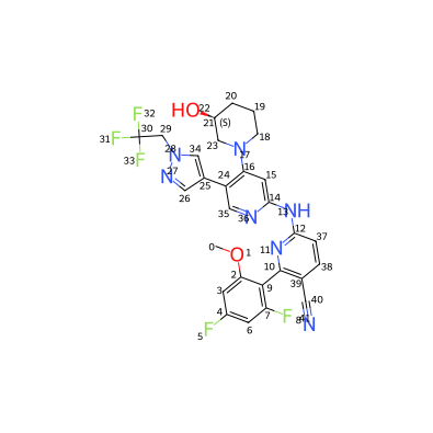 COc1cc(F)cc(F)c1-c1nc(Nc2cc(N3CCC[C@H](O)C3)c(-c3cnn(CC(F)(F)F)c3)cn2)ccc1C#N